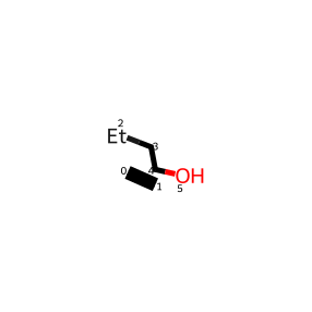 C#C.CCCCO